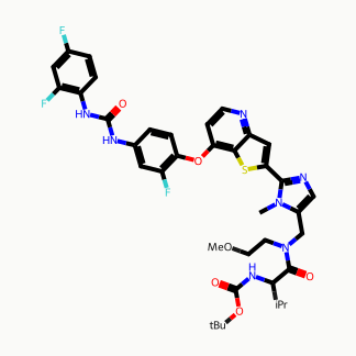 COCCN(Cc1cnc(-c2cc3nccc(Oc4ccc(NC(=O)Nc5ccc(F)cc5F)cc4F)c3s2)n1C)C(=O)C(NC(=O)OC(C)(C)C)C(C)C